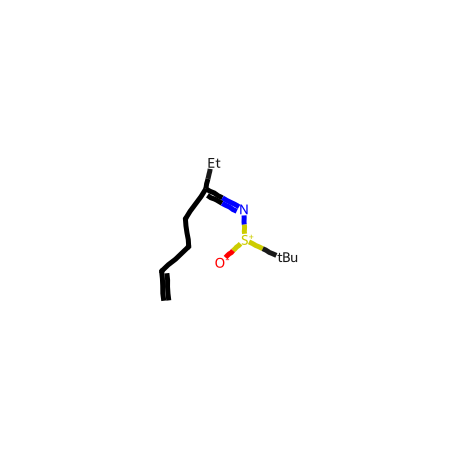 C=CCCC(CC)=N[S+]([O-])C(C)(C)C